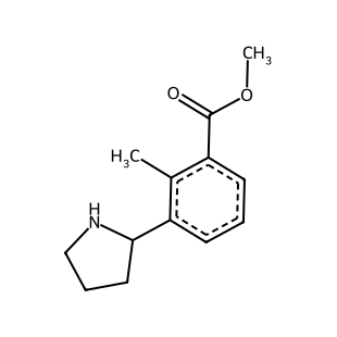 COC(=O)c1cccc(C2CCCN2)c1C